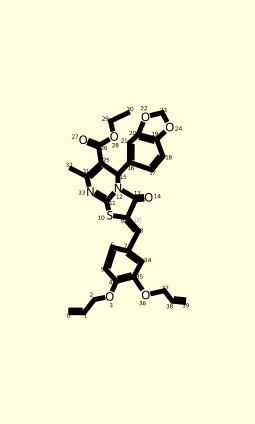 C=CCOc1ccc(/C=c2\sc3n(c2=O)C(c2ccc4c(c2)OCO4)C(C(=O)OCC)=C(C)N=3)cc1OCC=C